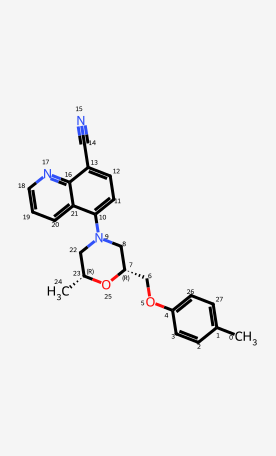 Cc1ccc(OC[C@H]2CN(c3ccc(C#N)c4ncccc34)C[C@@H](C)O2)cc1